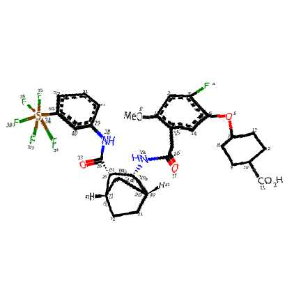 COc1cc(F)c(OC2CCC(C(=O)O)CC2)cc1C(=O)N[C@@H]1[C@@H]2CC[C@@H](C2)[C@@H]1C(=O)Nc1cccc(S(F)(F)(F)(F)F)c1